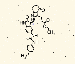 CCOC(=O)CCc1c(/C=C2\C(=O)Nc3ccc(NC(=O)Nc4ccc(C)cc4)cc32)[nH]c2c1C(=O)CCC2